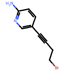 Nc1ccc(C#CCCBr)cn1